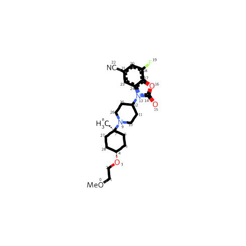 COCCO[C@H]1CC[C@](C)(N2CCC(n3c(=O)oc4c(F)cc(C#N)cc43)CC2)CC1